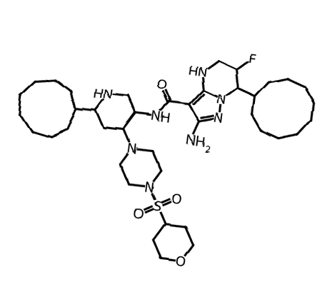 Nc1nn2c(c1C(=O)NC1CNC(C3CCCCCCCC3)CC1N1CCN(S(=O)(=O)C3CCOCC3)CC1)NCC(F)C2C1CCCCCCCCC1